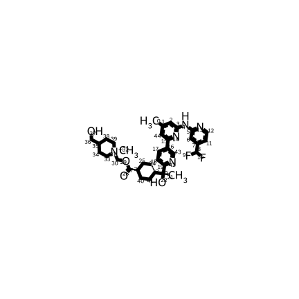 Cc1cc(Nc2cc(C(F)F)ccn2)nc(-c2ccc([C@](C)(O)[C@H]3CC[C@H](C(=O)OC[N+]4(C)CCC(CO)CC4)CC3)nc2)c1